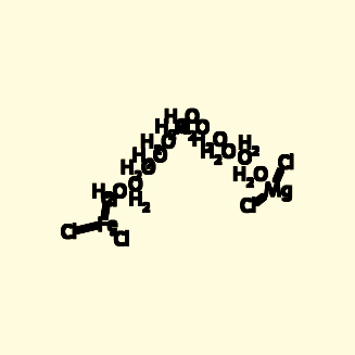 O.O.O.O.O.O.O.O.O.O.O.O.[Cl][Fe]([Cl])[Cl].[Cl][Mg][Cl]